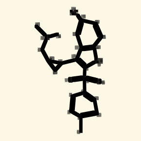 Cc1ccc(S(=O)(=O)c2[nH]c3ccc(C#N)cc3c2C2CC2CN(C)C)cc1